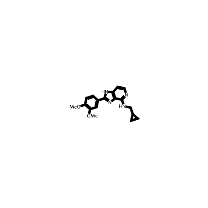 COc1ccc(-c2nc3c(NCC4CC4)nccc3[nH]2)cc1OC